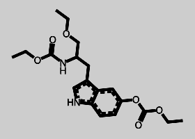 CCOCC(Cc1c[nH]c2ccc(OC(=O)OCC)cc12)NC(=O)OCC